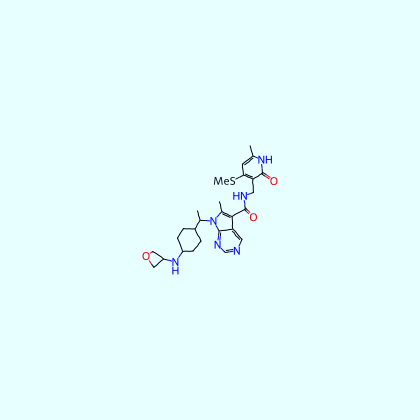 CSc1cc(C)[nH]c(=O)c1CNC(=O)c1c(C)n(C(C)C2CCC(NC3COC3)CC2)c2ncncc12